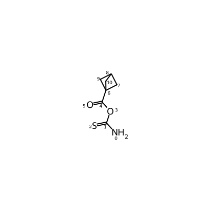 NC(=S)OC(=O)C12CC(C1)C2